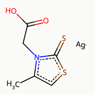 Cc1csc(=S)n1CC(=O)O.[Ag]